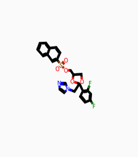 O=S(=O)(OCC1COC(Cn2ccnc2)(c2ccc(F)cc2F)O1)c1ccc2ccccc2c1